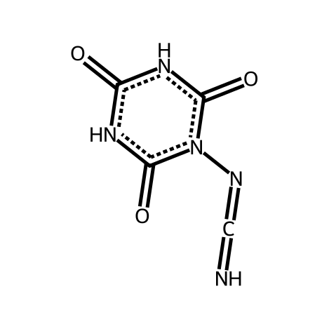 N=C=Nn1c(=O)[nH]c(=O)[nH]c1=O